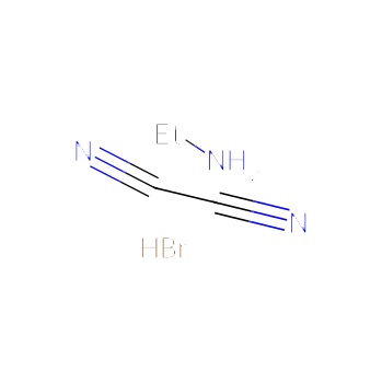 Br.CCN.N#CC#N